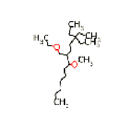 CCCCCCC(OC)C(CCC(CC)(CC)CC)COCC